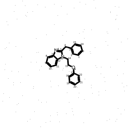 c1ccc(Cc2nc3ccccc3n2CCOc2ccccc2)cc1